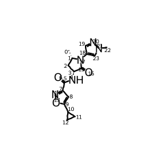 C[C@H]1C[C@@H](NC(=O)c2cc(C3CC3)on2)C(=O)N1c1cnn(C)c1